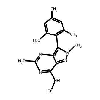 CCNc1nc(C)nc2c(-c3c(C)cc(C)cc3C)n(C)nc12